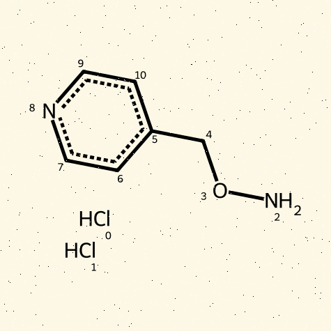 Cl.Cl.NOCc1ccncc1